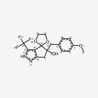 COc1ccc(CC2(O)Cc3n[nH]c(C(F)(F)F)c3C23OCCO3)cc1